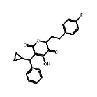 O=C1OC(CCc2ccc(F)cc2)C(=O)C(O)=C1C(c1ccccc1)C1CC1